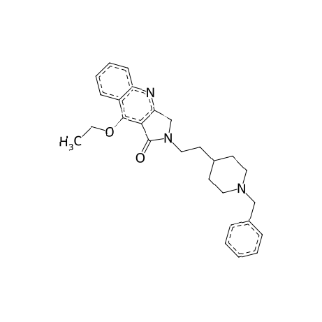 CCOc1c2c(nc3ccccc13)CN(CCC1CCN(Cc3ccccc3)CC1)C2=O